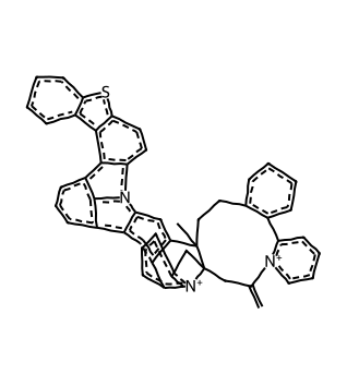 C=C1CC23Cc4cccc([n+]42)-c2cc4c5cccc6c7c8c(ccc7n(c4cc2C3(C)CCc2ccccc2-c2cccc[n+]21)c56)sc1ccccc18